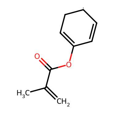 C=C(C)C(=O)OC1=CC[CH]C=C1